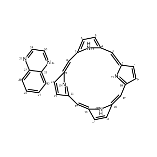 C1=Cc2cc3ccc(cc4nc(cc5ccc(cc1n2)[nH]5)C=C4)[nH]3.c1ccc2nccnc2c1